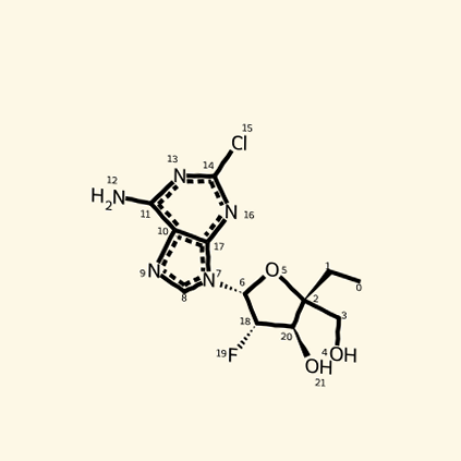 CC[C@]1(CO)O[C@@H](n2cnc3c(N)nc(Cl)nc32)[C@@H](F)[C@@H]1O